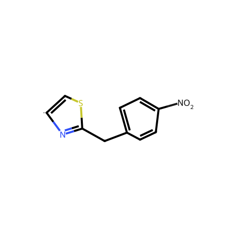 O=[N+]([O-])c1ccc(Cc2n[c]cs2)cc1